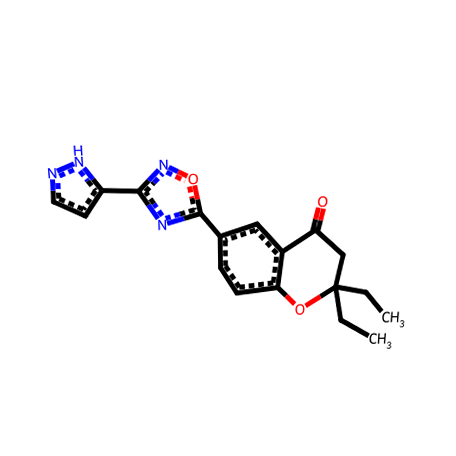 CCC1(CC)CC(=O)c2cc(-c3nc(-c4ccn[nH]4)no3)ccc2O1